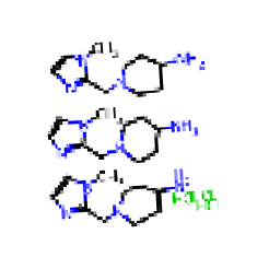 Cl.Cl.Cl.Cn1ccnc1CN1CCC(N)CC1.Cn1ccnc1CN1CCC(N)CC1.Cn1ccnc1CN1CCC(N)CC1